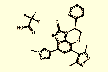 Cc1noc(C)c1-c1cc(-c2cnn(C)c2)c2[nH]c(=O)n3c2c1OC[C@@H]3c1ccccn1.O=C(O)C(F)(F)F